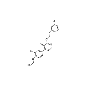 CCc1cc(-n2ccnc(OCCc3cccc(Cl)c3)c2=O)ccc1OCC(C)(C)C